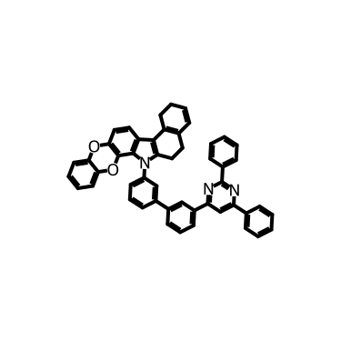 C1=CC2=C(CC1)c1c(n(-c3cccc(-c4cccc(-c5cc(-c6ccccc6)nc(-c6ccccc6)n5)c4)c3)c3c4c(ccc13)Oc1ccccc1O4)CC2